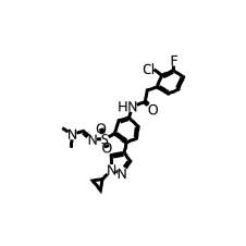 CN(C)/C=N/S(=O)(=O)c1cc(NC(=O)Cc2cccc(F)c2Cl)ccc1-c1cnn(C2CC2)c1